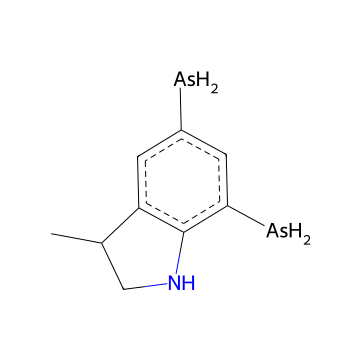 CC1CNc2c([AsH2])cc([AsH2])cc21